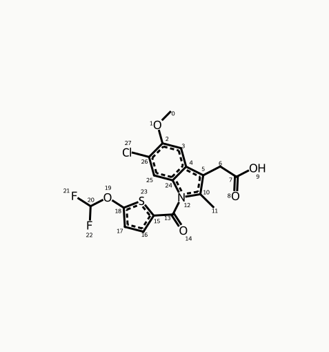 COc1cc2c(CC(=O)O)c(C)n(C(=O)c3ccc(OC(F)F)s3)c2cc1Cl